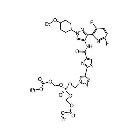 CCOC1CCC(n2cc(NC(=O)c3csc(-c4cnn(COP(=O)(OCOC(=O)OC(C)C)OCOC(=O)OC(C)C)c4)n3)c(-c3nc(F)ccc3F)n2)CC1